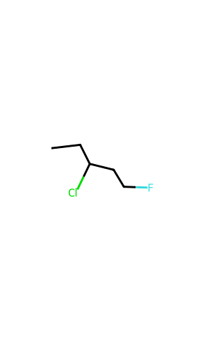 CCC(Cl)CCF